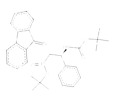 CC(C)(C)OC(=O)N[C@@H](c1ccccc1)[C@@H](N=C1c2ccccc2-c2ccccc21)[PH](=O)OC(C)(C)C